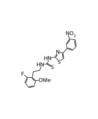 COc1cccc(F)c1CCNC(=S)Nc1nc(-c2cccc([N+](=O)[O-])c2)cs1